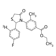 [2H]c1cc(F)ccc1C1SCC(=O)N1c1ccc(C(=O)OCC)cc1C